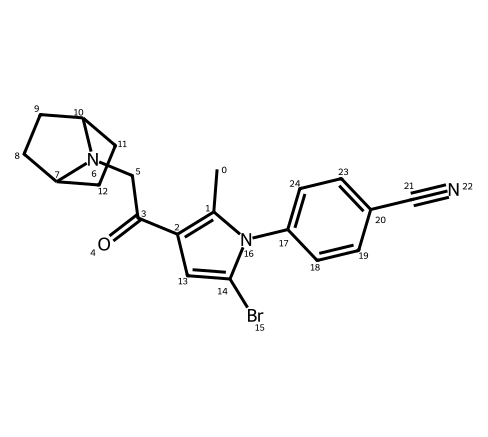 Cc1c(C(=O)CN2C3CCC2CC3)cc(Br)n1-c1ccc(C#N)cc1